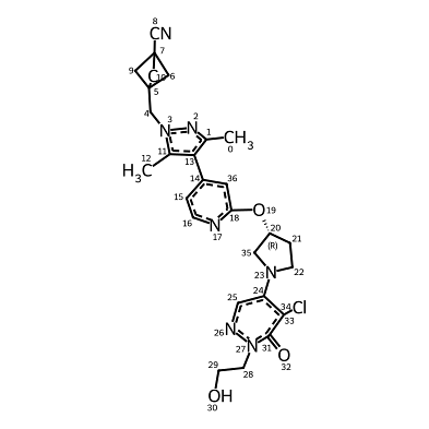 Cc1nn(CC23CC(C#N)(C2)C3)c(C)c1-c1ccnc(O[C@@H]2CCN(c3cnn(CCO)c(=O)c3Cl)C2)c1